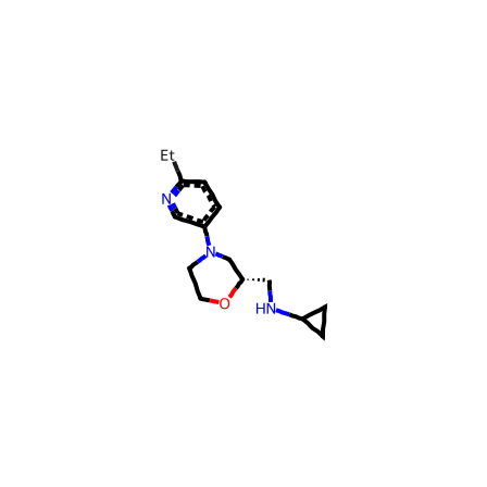 CCc1ccc(N2CCO[C@@H](CNC3CC3)C2)cn1